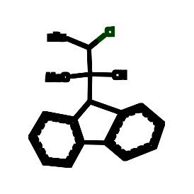 CCCCC(Cl)C(C#N)(OC)C1c2ccccc2-c2ccccc21